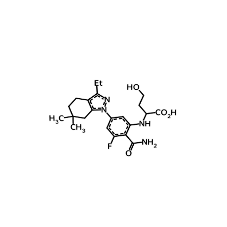 CCc1nn(-c2cc(F)c(C(N)=O)c(NC(CCO)C(=O)O)c2)c2c1CCC(C)(C)C2